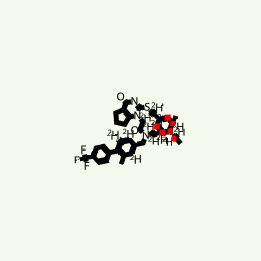 [2H]c1c([2H])c(-c2ccc(C(F)(F)F)cc2)c(C)c([2H])c1CN(C(=O)Cn1c(SC([2H])([2H])c2ccc(F)cc2)nc(=O)c2c1CCC2)C([2H])([2H])C([2H])([2H])N(C([2H])([2H])C)C([2H])([2H])C